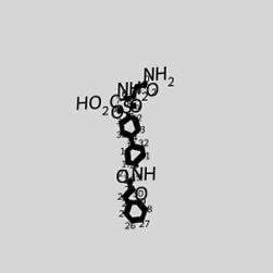 NC(=O)CC[C@](N)(C(=O)O)S(=O)(=O)c1ccc(-c2ccc(NC(=O)c3cc4ccccc4o3)cc2)cc1